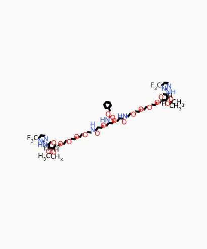 CC1(C)O[C@@H]2[C@H](O1)[C@@H](Nc1nccc(C(F)(F)F)n1)CO[C@@H]2COCCOCCOCCOCCNC(=O)CCOCC(COCCC(=O)NCCOCCOCCOCCOC[C@H]1OC[C@H](Nc2nccc(C(F)(F)F)n2)[C@H]2OC(C)(C)O[C@H]21)NC(=O)OCc1ccccc1